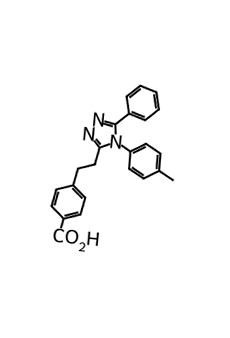 Cc1ccc(-n2c(CCc3ccc(C(=O)O)cc3)nnc2-c2ccccc2)cc1